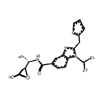 CCC[C@H](NC(=O)c1ccc2c(c1)nc(Cc1cccs1)n2C(CC)CC)C1OC1O